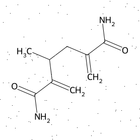 C=C(CC(C)C(=C)C(N)=O)C(N)=O